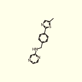 Cc1cnc(-c2ccc(CNc3cnccn3)cc2)s1